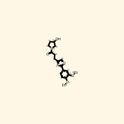 CCOc1ccc(-c2nc(CCC(=O)N3CCC(O)C3)co2)cc1OCC